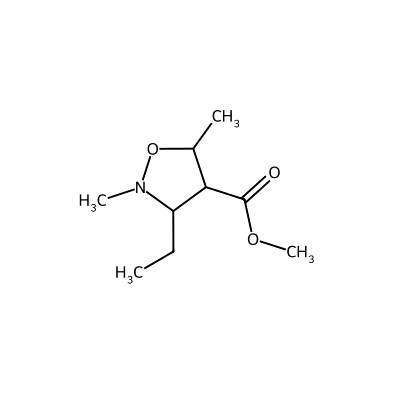 CCC1C(C(=O)OC)C(C)ON1C